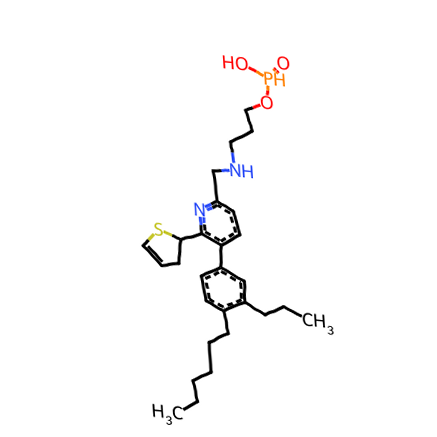 CCCCCCc1ccc(-c2ccc(CNCCCO[PH](=O)O)nc2C2CC=CS2)cc1CCC